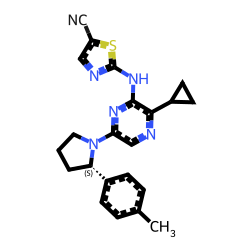 Cc1ccc([C@@H]2CCCN2c2cnc(C3CC3)c(Nc3ncc(C#N)s3)n2)cc1